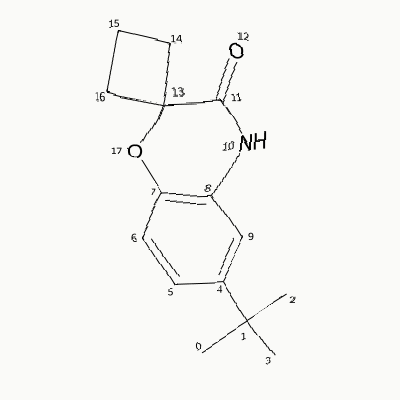 CC(C)(C)c1ccc2c(c1)NC(=O)C1(CCC1)O2